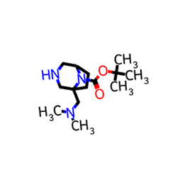 CN(C)CC12CCC(CNC1)N2C(=O)OC(C)(C)C